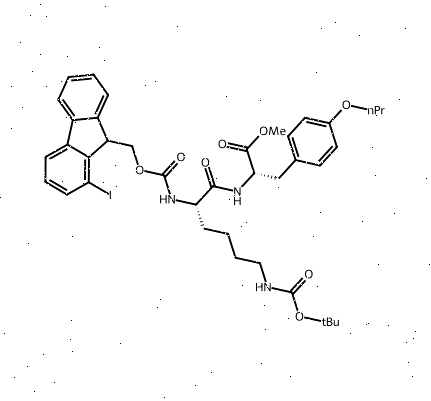 CCCOc1ccc(C[C@H](NC(=O)[C@H](CCCCNC(=O)OC(C)(C)C)NC(=O)OCC2c3ccccc3-c3cccc(I)c32)C(=O)OC)cc1